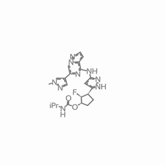 CC(C)NC(=O)O[C@@H]1CC[C@H](c2cc(Nc3nc(-c4cnn(C)c4)cn4nccc34)n[nH]2)[C@@H]1F